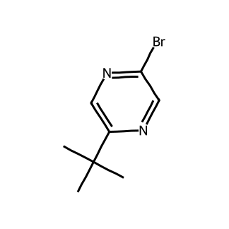 CC(C)(C)c1cnc(Br)cn1